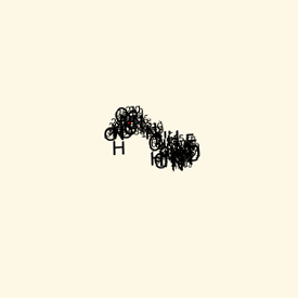 COc1cc(C(=O)NC2CCCN(CC3CCN(c4cccc5c4C(=O)N(C4CCC(=O)NC4=O)C5=O)CC3)C2)ccc1Nc1ncc2c(n1)N(C1CCCC1)CC(F)(F)C(=O)N2C